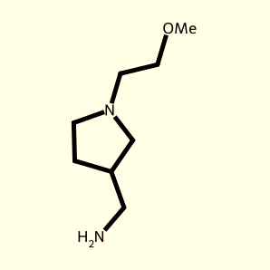 COCCN1CCC(CN)C1